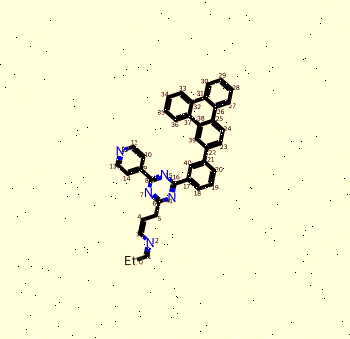 CC/C=N\C=C/Cc1nc(-c2ccncc2)nc(-c2cccc(-c3ccc4c5ccccc5c5ccccc5c4c3)c2)n1